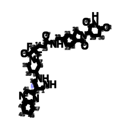 N=C/C(=C\NC1CCN(C(=O)C(F)(F)CCC(=O)NCc2ccc3c(c2)CN(C2CCC(=O)NC2=O)C3=O)CC1)c1cnc2ccccc2n1